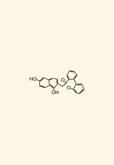 O=P1(Cc2ccc3cc(O)ccc3c2O)Oc2ccccc2-c2ccccc21